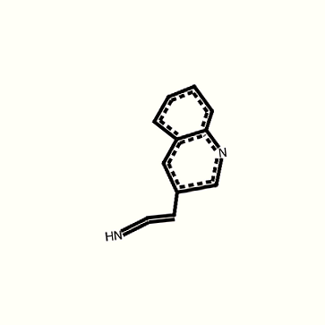 N=C=Cc1cnc2ccccc2c1